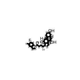 Cc1cc2c(cc1F)N(C(=O)CC[C@@H](C)[C@H]1CC[C@H]3[C@@H]4[C@H](O)C[C@@H]5C[C@H](O)CC[C@]5(C)[C@H]4C[C@H](O)[C@]13C)CC2